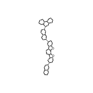 c1ccc2cc(-c3ccc4oc5c(ccc6c7cc(-c8ccc9ccc(-c%10cc%11ccccc%11c%11ccccc%10%11)cc9c8)ccc7oc65)c4c3)ccc2c1